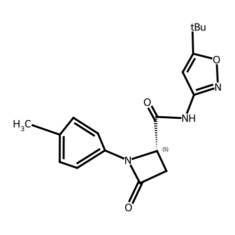 Cc1ccc(N2C(=O)C[C@H]2C(=O)Nc2cc(C(C)(C)C)on2)cc1